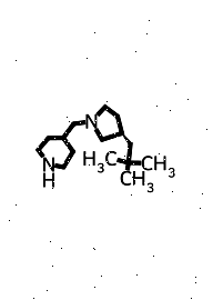 CC(C)(C)C[C@@H]1CCN(CC2CCNCC2)C1